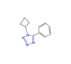 c1ccc(-c2nnnn2C2CCC2)cc1